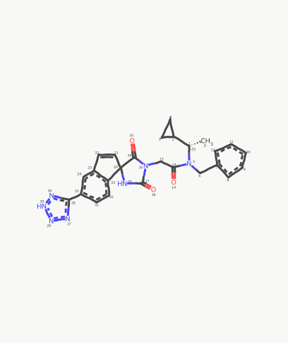 C[C@@H](C1CC1)N(Cc1ccccc1)C(=O)CN1C(=O)NC2(C=Cc3cc(-c4nn[nH]n4)ccc32)C1=O